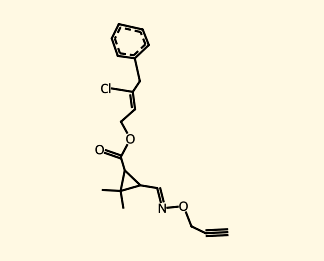 C#CCON=CC1C(C(=O)OCC=C(Cl)Cc2ccccc2)C1(C)C